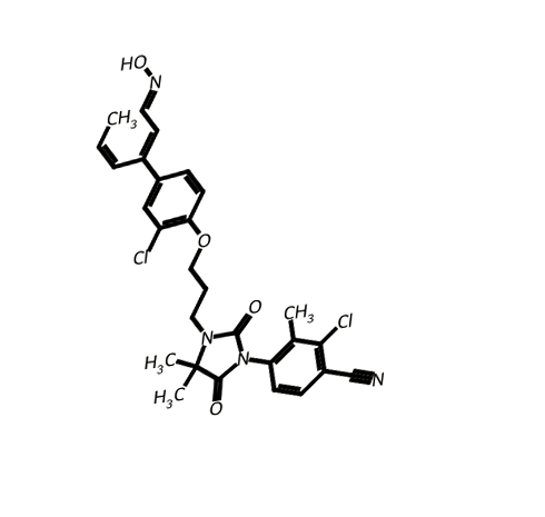 C\C=C/C(=C\C=N\O)c1ccc(OCCCN2C(=O)N(c3ccc(C#N)c(Cl)c3C)C(=O)C2(C)C)c(Cl)c1